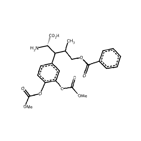 COC(=O)Oc1ccc(C(C(C)COC(=O)c2ccccc2)[C@H](N)C(=O)O)cc1OC(=O)OC